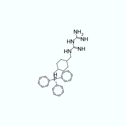 N=C(N)NC(=N)NCC1CCC(C[PH](c2ccccc2)(c2ccccc2)c2ccccc2)CC1